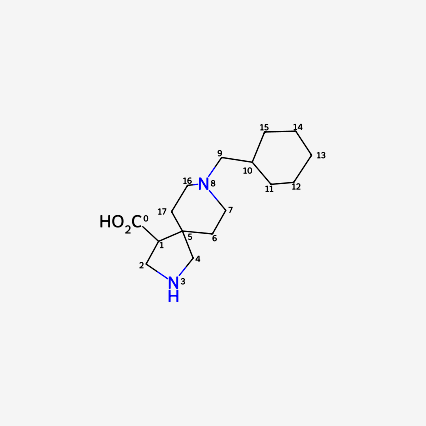 O=C(O)C1CNCC12CCN(CC1CCCCC1)CC2